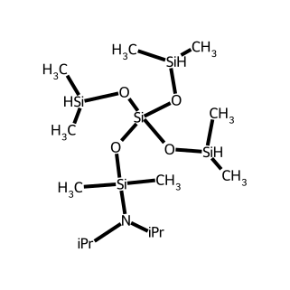 CC(C)N(C(C)C)[Si](C)(C)O[Si](O[SiH](C)C)(O[SiH](C)C)O[SiH](C)C